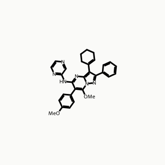 COc1ccc(-c2c(Nc3cnccn3)nc3c(C4=CCCCC4)c(-c4ccccc4)nn3c2OC)cc1